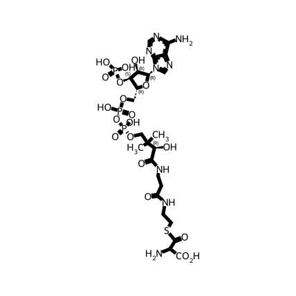 CC(C)(COP(=O)(O)OP(=O)(O)OC[C@H]1O[C@@H](n2cnc3c(N)ncnc32)[C@H](O)[C@@H]1OP(=O)(O)O)[C@@H](O)C(=O)NCCC(=O)NCCSC(=O)C(N)C(=O)O